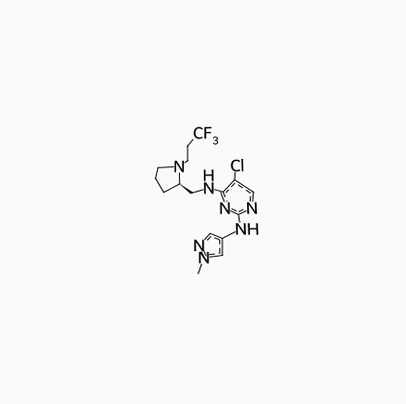 Cn1cc(Nc2ncc(Cl)c(NC[C@H]3CCCN3CCC(F)(F)F)n2)cn1